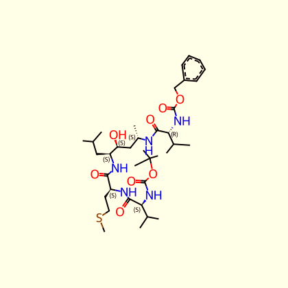 CSCC[C@H](NC(=O)[C@@H](NC(=O)OC(C)(C)C)C(C)C)C(=O)N[C@@H](CC(C)C)[C@@H](O)C[C@H](C)NC(=O)[C@H](NC(=O)OCc1ccccc1)C(C)C